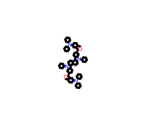 c1ccc(N(c2ccccc2)c2ccc3coc(-c4ccc5c6c7ccc8c(c7ccc6n(-c6ccccc6)c5c4)c4ccc(-c5occ6ccc(N(c7ccccc7)c7ccccc7)cc56)cc4n8-c4ccccc4)c3c2)cc1